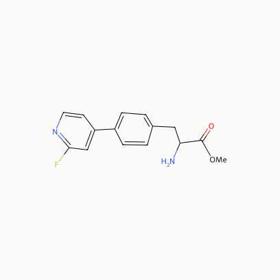 COC(=O)C(N)Cc1ccc(-c2ccnc(F)c2)cc1